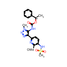 COc1nc(-c2nnn(C)c2NC(=O)O[C@H](C)c2ccccc2)ccc1NS(C)(=O)=O